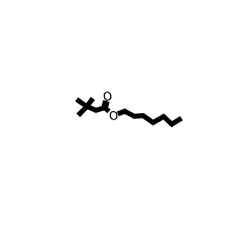 CCCCCCCOC(=O)CC(C)(C)C